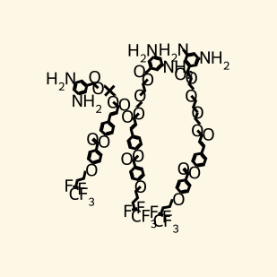 CC(C)(COC(=O)C=Cc1ccc(OC(=O)c2ccc(OCCCC(F)(F)C(F)(F)F)cc2)cc1)COC(=O)c1cc(N)cc(N)c1.Nc1cc(N)cc(C(=O)OCCOCCOC(=O)C=Cc2ccc(OC(=O)c3ccc(OCCCC(F)(F)C(F)(F)F)cc3)cc2)c1.Nc1cc(N)cc(C(=O)OCCOCCOCCOC(=O)C=Cc2ccc(OC(=O)c3ccc(OCCCC(F)(F)C(F)(F)F)cc3)cc2)c1